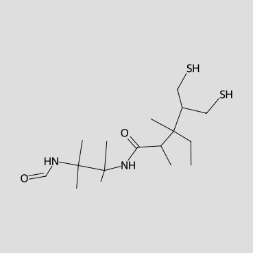 CCC(C)(C(CS)CS)C(C)C(=O)NC(C)(C)C(C)(C)NC=O